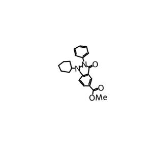 COC(=O)c1ccc2c(c1)c(=O)n(-c1ccccc1)n2C1CCCCC1